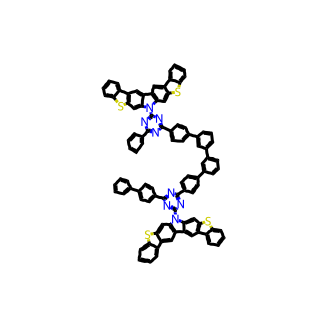 c1ccc(-c2ccc(-c3nc(-c4ccc(-c5cccc(-c6cccc(-c7ccc(-c8nc(-c9ccccc9)nc(-n9c%10cc%11sc%12ccccc%12c%11cc%10c%10cc%11c(cc%109)sc9ccccc9%11)n8)cc7)c6)c5)cc4)nc(-n4c5cc6sc7ccccc7c6cc5c5cc6c(cc54)sc4ccccc46)n3)cc2)cc1